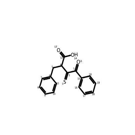 O=C(C(=S)C(Cc1ccccc1)C(=O)O)c1ccccc1